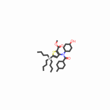 CCC[CH2][Sn]([CH2]CCC)([CH2]CCC)[c]1cc(N(C(=O)C2CCC(C)CC2)C2CCC(O)CC2)c(C(=O)OC)s1